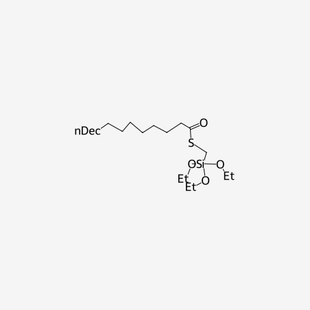 CCCCCCCCCCCCCCCCCC(=O)SC[Si](OCC)(OCC)OCC